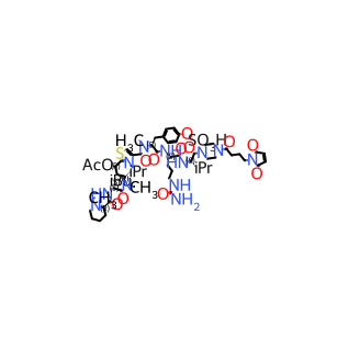 CC[C@H](C)[C@H](NC(=O)[C@H]1CCCCN1C)C(=O)N(C)[C@H](C[C@@H](OC(C)=O)c1nc(C(=O)N(C)[C@@H](Cc2ccc(OS(=O)(=O)O)cc2)C(=O)N[C@@H](CCCNC(N)=O)C(=O)N[C@H](C(=O)N2CCN(C(=O)CCCN3C(=O)C=CC3=O)CC2)C(C)C)cs1)C(C)C